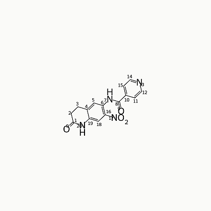 O=C1CCc2cc(NC(=O)c3ccncc3)c([N+](=O)[O-])cc2N1